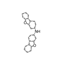 c1ccc2c(c1)oc1cc(Nc3ccc4c(c3)oc3ccccc34)ccc12